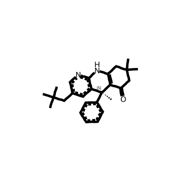 CC(C)(C)Cc1cnc2c(c1)[C@](C)(c1ccccc1)C1=C(CC(C)(C)CC1=O)N2